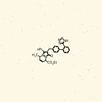 CCCc1c(Cc2ccc(-c3ccccc3-c3nnn[nH]3)cc2)c(=O)n2n1C(C)C=CC2C(=O)OCC